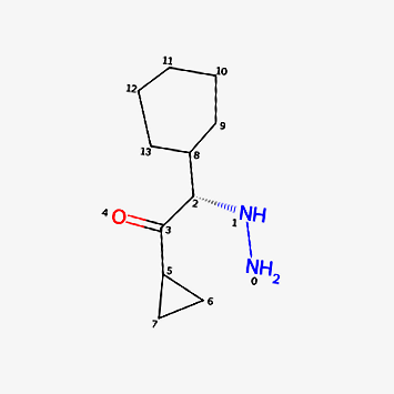 NN[C@H](C(=O)C1CC1)C1CCCCC1